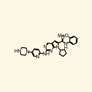 COc1ccccc1NC(=O)c1cc2cnc(Nc3ccc(N4CCNCC4)cn3)nc2n1C1CCCC1